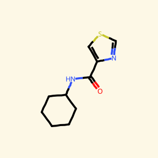 O=C(NC1CCCCC1)c1cscn1